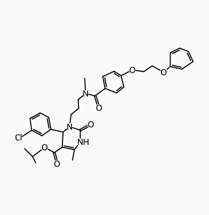 CC1=C(C(=O)OC(C)C)C(c2cccc(Cl)c2)N(CCCN(C)C(=O)c2ccc(OCCOc3ccccc3)cc2)C(=O)N1